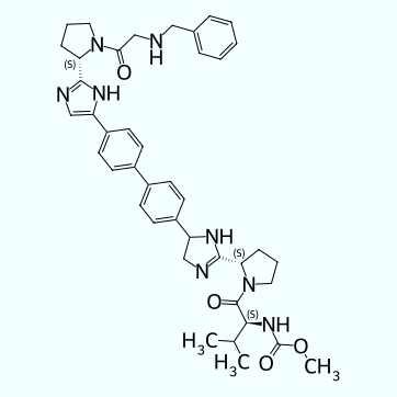 COC(=O)N[C@H](C(=O)N1CCC[C@H]1C1=NCC(c2ccc(-c3ccc(-c4cnc([C@@H]5CCCN5C(=O)CNCc5ccccc5)[nH]4)cc3)cc2)N1)C(C)C